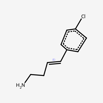 NCC/C=C/c1ccc(Cl)cc1